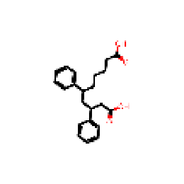 O=C(O)CCCCC(CC(CC(=O)O)c1ccccc1)c1ccccc1